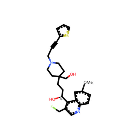 COc1ccc2ncc(CF)c([C@@H](O)CCC3(CO)CCN(CC#Cc4cccs4)CC3)c2c1